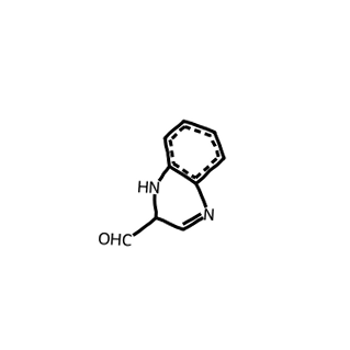 O=CC1C=Nc2ccccc2N1